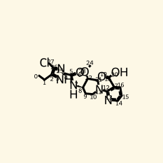 CCc1[nH]c(C(=O)N[C@@H]2CCN(c3ncccc3C(=O)O)C[C@@H]2OC)nc1Cl